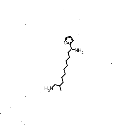 CC(CN)CCCCCCCCC(N)c1ccco1